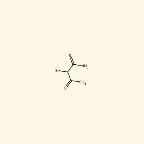 CCC(C(C)=S)C(N)=S